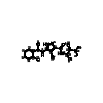 CC[C@@H](NC(=O)c1n[nH]c(NC(=O)c2ccccc2Cl)c1Br)C(=O)N(C)C